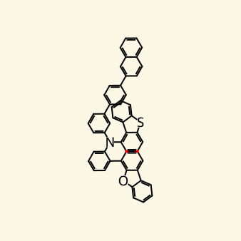 c1cc(-c2ccc(-c3ccc4ccccc4c3)cc2)cc(N(c2ccccc2-c2cccc3c2oc2ccccc23)c2cccc3sc4ccccc4c23)c1